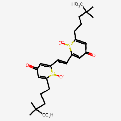 CC(C)(CCCc1cc(=O)cc(/C=C/c2cc(=O)cc(CCCC(C)(C)C(=O)O)[s+]2[O-])[s+]1[O-])C(=O)O